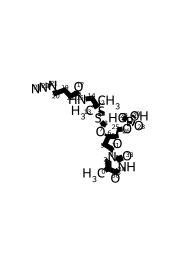 Cc1cn([C@H]2C[C@@H](OCSSC(C)(C)CNC(=O)CCCN=[N+]=[N-])[C@@H](COP(=O)(O)O)O2)c(=O)[nH]c1=O